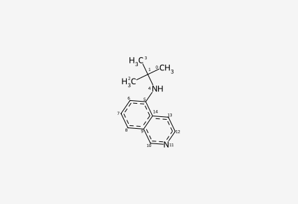 CC(C)(C)Nc1cccc2cnccc12